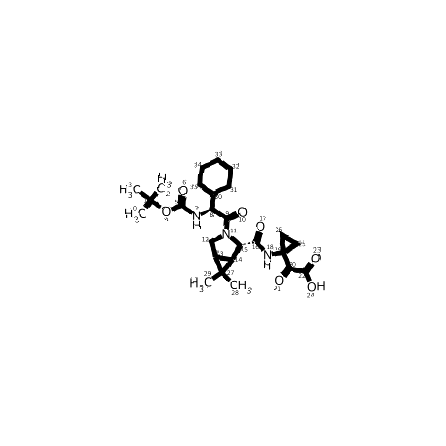 CC(C)(C)OC(=O)N[C@H](C(=O)N1CC2C([C@H]1C(=O)NC1(C(=O)C(=O)O)CC1)C2(C)C)C1CCCCC1